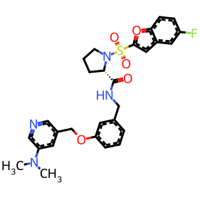 CN(C)c1cncc(COc2cccc(CNC(=O)[C@@H]3CCCN3S(=O)(=O)c3cc4cc(F)ccc4o3)c2)c1